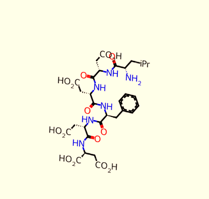 CC(C)C[C@H](N)C(=O)N[C@@H](CC(=O)O)C(=O)N[C@@H](CC(=O)O)C(=O)N[C@@H](Cc1ccccc1)C(=O)N[C@@H](CC(=O)O)C(=O)N[C@@H](CC(=O)O)C(=O)O